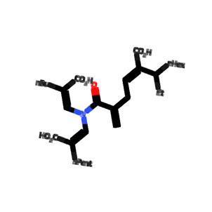 C=C(CC=C(C(=O)O)C(CC)CCCCCC)C(=O)N(C=C(CCCC)C(=O)O)C=C(CCCCC)C(=O)O